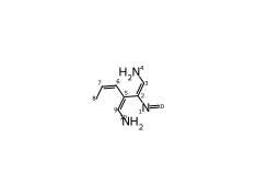 C=NC(=C/N)/C(/C=C\C)=C\N